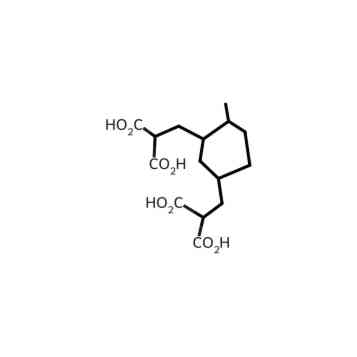 CC1CCC(CC(C(=O)O)C(=O)O)CC1CC(C(=O)O)C(=O)O